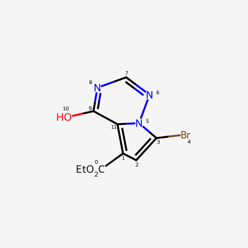 CCOC(=O)c1cc(Br)n2ncnc(O)c12